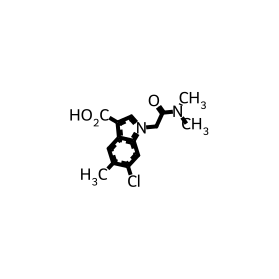 Cc1cc2c(C(=O)O)cn(CC(=O)N(C)C)c2cc1Cl